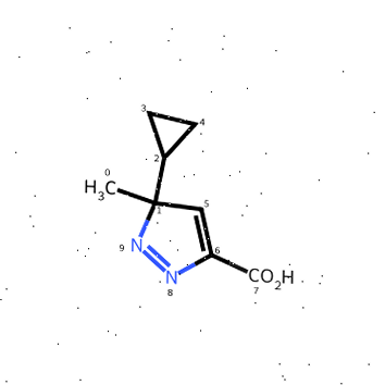 CC1(C2CC2)C=C(C(=O)O)N=N1